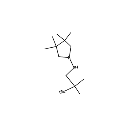 CC(C)(C)C(C)(C)CBB1CC(C)(C)C(C)(C)C1